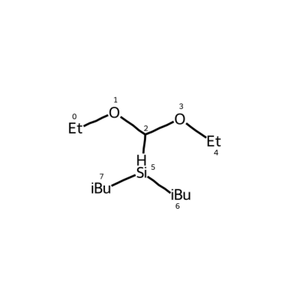 CCOC(OCC)[SiH](C(C)CC)C(C)CC